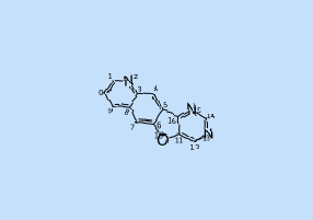 c1cnc2cc3c(cc2c1)oc1cncnc13